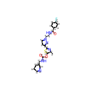 Cc1nc(-c2ccn(CCNC(=O)c3ccc(F)cc3)n2)sc1OC(=O)NCc1cccnc1